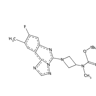 Cc1cc2c(cc1F)nc(N1CC(N(C)C(=O)OC(C)(C)C)C1)n1ncnc21